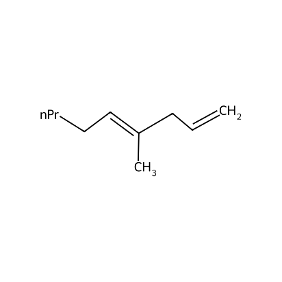 C=CC/C(C)=C/CCCC